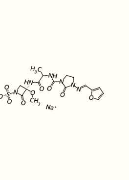 CO[C@]1(NC(=O)C(C)NC(=O)N2CCN(N=Cc3ccco3)C2=O)CN(S(=O)(=O)[O-])C1=O.[Na+]